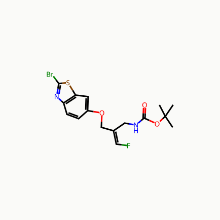 CC(C)(C)OC(=O)NC/C(=C\F)COc1ccc2nc(Br)sc2c1